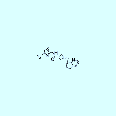 O=C(Nc1nc(C2CC2)cs1)C1CC(Oc2cccc3cccnc23)C1